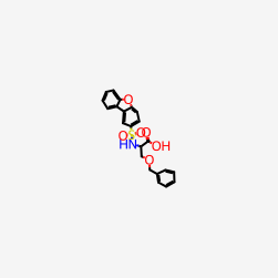 O=C(O)C(COCc1ccccc1)NS(=O)(=O)c1ccc2oc3ccccc3c2c1